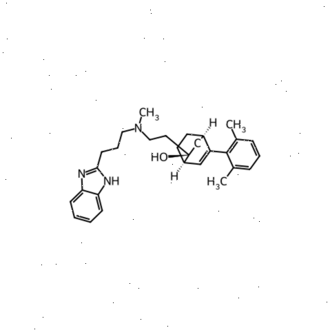 Cc1cccc(C)c1C1=C[C@H]2CC[C@@H]1C[C@@]2(O)CCN(C)CCCc1nc2ccccc2[nH]1